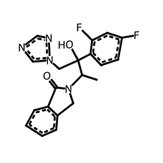 CC(N1Cc2ccccc2C1=O)C(O)(Cn1cncn1)c1ccc(F)cc1F